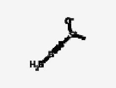 BB=B[S+](C)[O-]